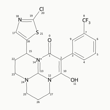 O=c1c(-c2cccc(C(F)(F)F)c2)c(O)n2c3[n+]1C(c1cnc(Cl)s1)CCN3CCC2